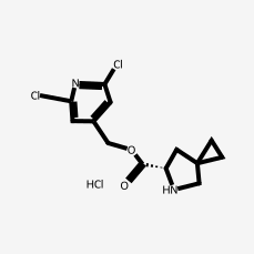 Cl.O=C(OCc1cc(Cl)nc(Cl)c1)[C@@H]1CC2(CC2)CN1